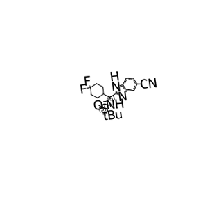 CC(C)(C)[S@@+]([O-])N[C@H](c1nc2cc(C#N)ccc2[nH]1)C1CCC(F)(F)CC1